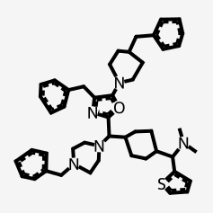 CN(C)C(c1cccs1)C1CCC(C(c2nc(Cc3ccccc3)c(N3CCC(Cc4ccccc4)CC3)o2)N2CCN(Cc3ccccc3)CC2)CC1